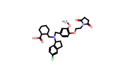 COc1cc(CN(CC2CCCCC2C(=O)O)C2CCc3cc(Cl)ccc32)ccc1OCCN1C(=O)CCC1=O